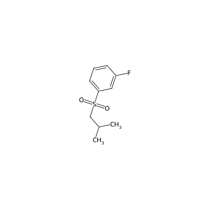 CC(C)CS(=O)(=O)c1cccc(F)c1